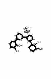 CC(=O)[O-].CC(=O)[O-].Oc1cccc(-c2cccc(-c3cccc(-c4cccc(O)c4O)n3)n2)c1O.[Mn+2]